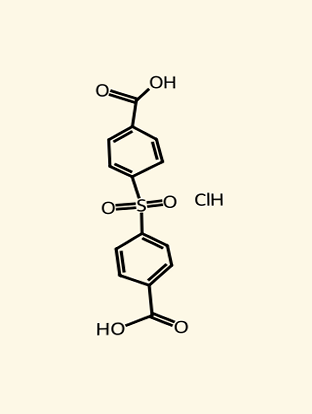 Cl.O=C(O)c1ccc(S(=O)(=O)c2ccc(C(=O)O)cc2)cc1